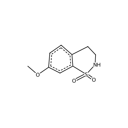 COc1ccc2c(c1)S(=O)(=O)NCC2